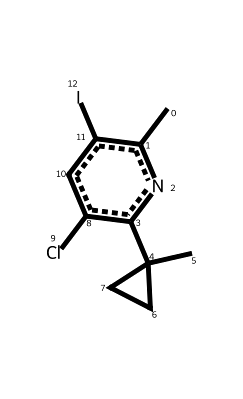 Cc1nc(C2(C)CC2)c(Cl)cc1I